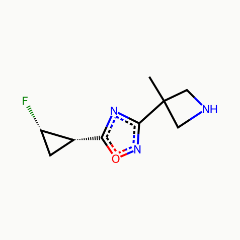 CC1(c2noc([C@@H]3C[C@@H]3F)n2)CNC1